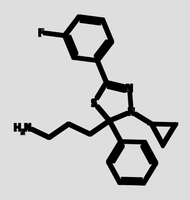 NCCCC1(c2ccccc2)SC(c2cccc(F)c2)=NN1[C]1CC1